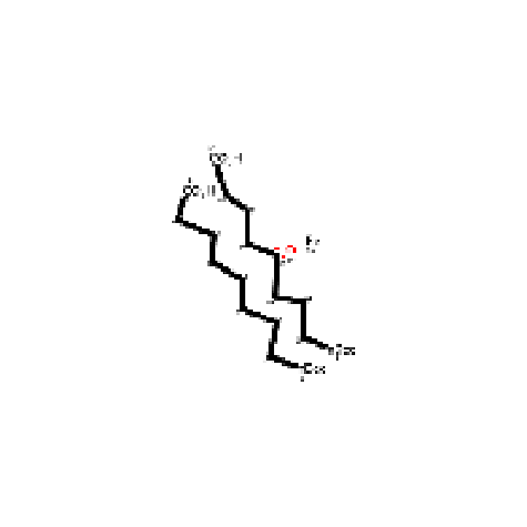 CCCCCCCCCCCCCCCCCC(=O)O.CCCCCCCCCCCCCCCCCC(=O)O.O.[Fe]